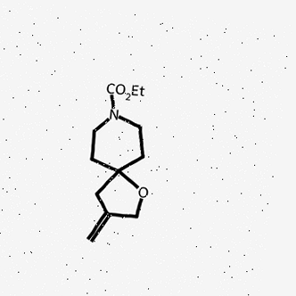 C=C1COC2(CCN(C(=O)OCC)CC2)C1